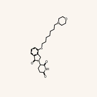 O=C1CCC(N2Cc3c(SCCCCCCCN4CCOCC4)cccc3C2=O)C(=O)N1